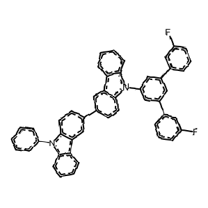 Fc1cccc(-c2cc(-c3cccc(F)c3)cc(-n3c4ccccc4c4cc(-c5ccc6c(c5)c5ccccc5n6-c5ccccc5)ccc43)c2)c1